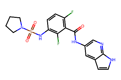 O=C(Nc1cnc2[nH]ccc2c1)c1c(F)ccc(NS(=O)(=O)N2CCCC2)c1F